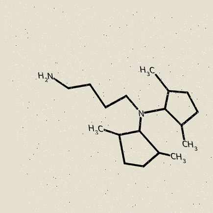 CC1CCC(C)C1N(CCCCN)C1C(C)CCC1C